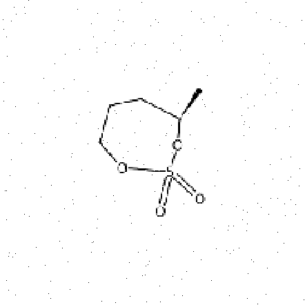 C[C@@H]1CCCOS(=O)(=O)O1